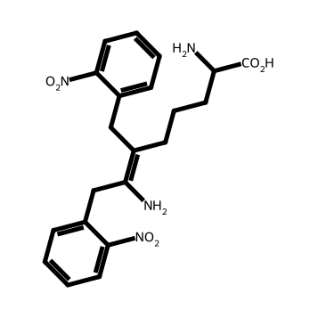 NC(Cc1ccccc1[N+](=O)[O-])=C(CCCC(N)C(=O)O)Cc1ccccc1[N+](=O)[O-]